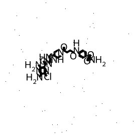 Nc1nc(N)c(C(=O)/N=C2\NCC3(CCN(C(=O)CCC(=O)Nc4ccc(S(N)(=O)=O)cc4)CC3)N2)nc1Cl